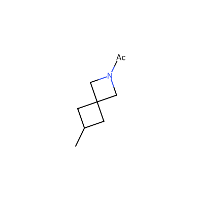 CC(=O)N1CC2(CC(C)C2)C1